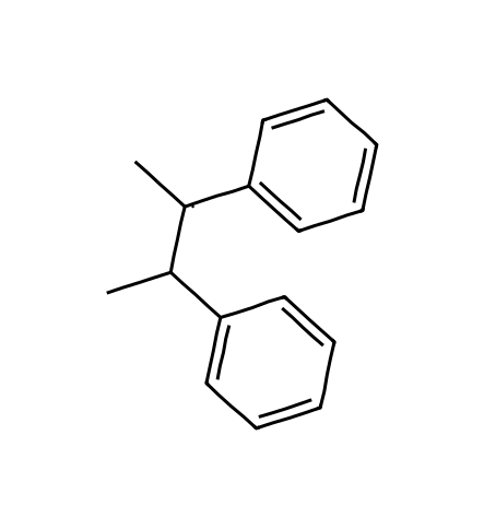 C[C](c1ccccc1)C(C)c1ccccc1